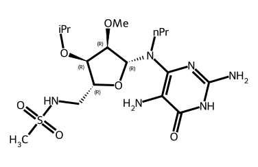 CCCN(c1nc(N)[nH]c(=O)c1N)[C@@H]1O[C@H](CNS(C)(=O)=O)[C@@H](OC(C)C)[C@H]1OC